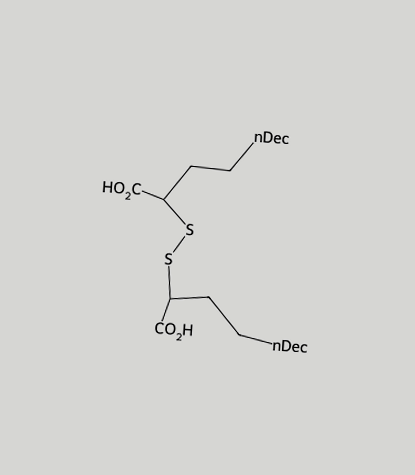 CCCCCCCCCCCCC(SSC(CCCCCCCCCCCC)C(=O)O)C(=O)O